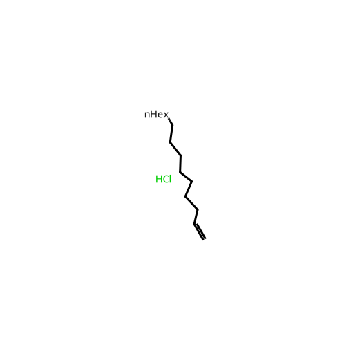 C=CCCCCCCCCCCCCC.Cl